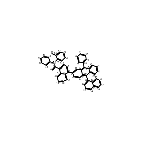 C=C(c1ccc(-c2ccc3c(-c4cccc5ccccc45)c4ccccc4c(-c4ccccc4)c3c2)c2ccccc12)N(c1ccccc1)c1ccccc1C